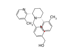 Cc1cccnc1[C@H]1CCC[C@@H](c2ncccc2C)N1Cc1ccc(CO)cc1